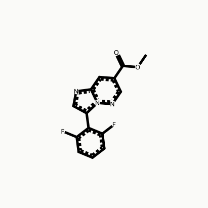 COC(=O)c1cnn2c(-c3c(F)cccc3F)cnc2c1